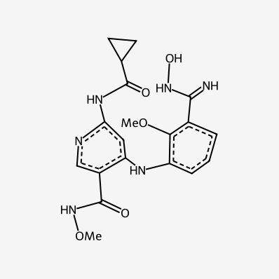 CONC(=O)c1cnc(NC(=O)C2CC2)cc1Nc1cccc(C(=N)NO)c1OC